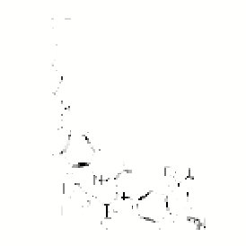 COCCCCCOc1ccc(N2C(=S)N(c3ccc(C#N)c(C(F)(F)F)c3)C(=O)C2(C)C)cc1